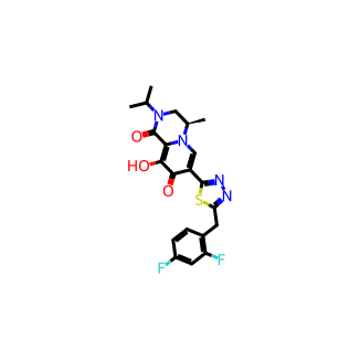 CC(C)N1C[C@@H](C)n2cc(-c3nnc(Cc4ccc(F)cc4F)s3)c(=O)c(O)c2C1=O